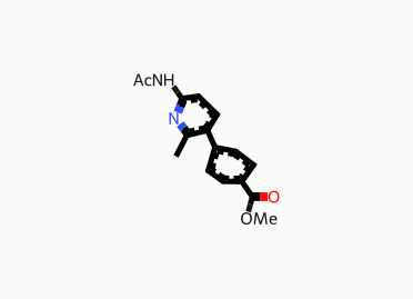 COC(=O)c1ccc(-c2ccc(NC(C)=O)nc2C)cc1